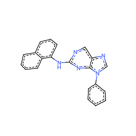 c1ccc(-n2cnc3cnc(Nc4cccc5ccccc45)nc32)cc1